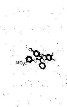 CCOC(=O)c1cccc(OCC(C2CCCCC2)C2(c3ccc(Cl)cc3)Nc3cc(F)c(F)cc3N2)c1